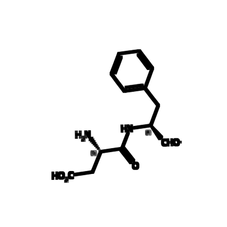 N[C@@H](CC(=O)O)C(=O)N[C@H]([C]=O)Cc1ccccc1